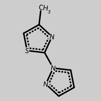 Cc1csc(-n2cccn2)n1